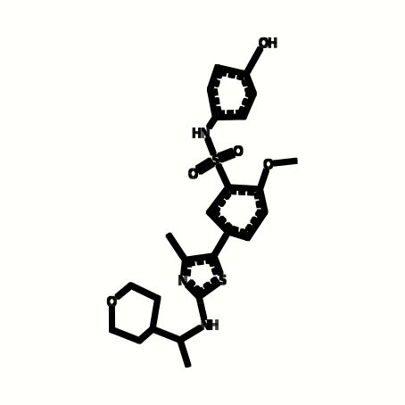 COc1ccc(-c2sc(NC(C)C3CCOCC3)nc2C)cc1S(=O)(=O)Nc1ccc(O)cc1